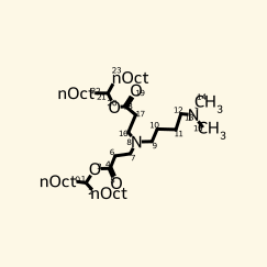 CCCCCCCCC(CCCCCCCC)OC(=O)CCN(CCCCN(C)C)CCC(=O)OC(CCCCCCCC)CCCCCCCC